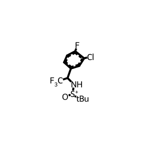 CC(C)(C)[S+]([O-])NC(c1ccc(F)c(Cl)c1)C(F)(F)F